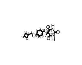 CC1(Oc2ccc(OCC3CCC3)cc2)C(=O)NC(=O)NC1=O